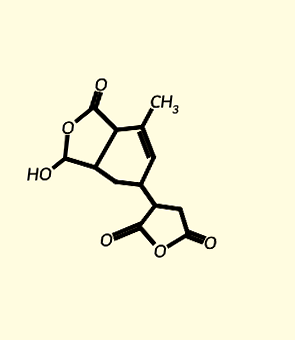 CC1=CC(C2CC(=O)OC2=O)CC2C(O)OC(=O)C12